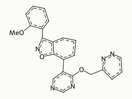 COc1ccccc1-c1noc2c(-c3cncnc3OCc3cccnn3)cccc12